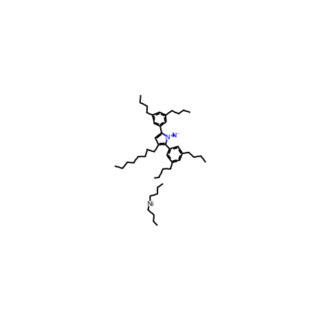 CCCCCCCCC1=C(c2cc(CCCC)cc(CCCC)c2)[N+](=[N-])C(c2cc(CCCC)cc(CCCC)c2)=C1.CCC[CH2][Ni][CH2]CCC